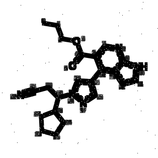 CCCOC(=O)c1cnc2[nH]ccc2c1-c1cnn(C(CC#N)C2CCCC2)c1